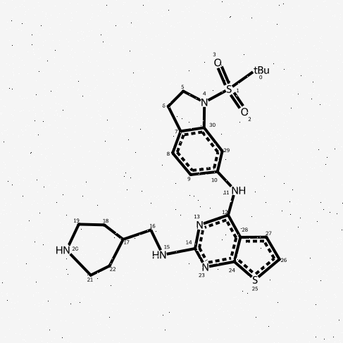 CC(C)(C)S(=O)(=O)N1CCc2ccc(Nc3nc(NCC4CCNCC4)nc4sccc34)cc21